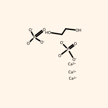 O=P([O-])([O-])[O-].O=P([O-])([O-])[O-].OCCO.[Ca+2].[Ca+2].[Ca+2]